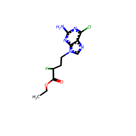 CCOC(=O)C(F)CCn1cnc2c(Cl)nc(N)nc21